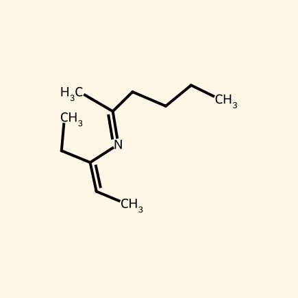 C/C=C(CC)\N=C(/C)CCCC